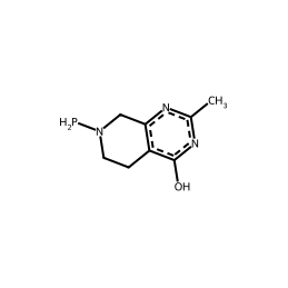 Cc1nc(O)c2c(n1)CN(P)CC2